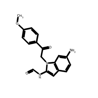 COc1ccc(C(=O)Cn2c(NC=O)cc3ccc(N)cc32)cc1